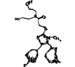 Cn1c(SCC(=O)N(CCO)CCO)nc(-c2ccc(F)cc2)c1-c1ccncc1